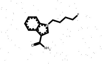 NC(=O)c1cn(CCCCF)c2ccccc12